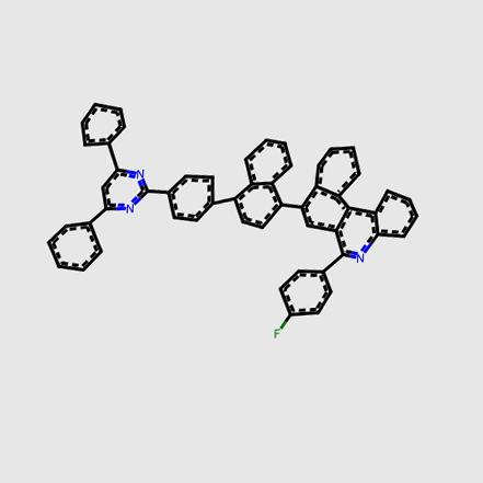 Fc1ccc(-c2nc3ccccc3c3c2cc(-c2ccc(-c4ccc(-c5nc(-c6ccccc6)cc(-c6ccccc6)n5)cc4)c4ccccc24)c2ccccc23)cc1